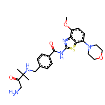 COc1ccc(N2CCOCC2)c2sc(NC(=O)c3ccc(CNC(C)(C)C(=O)CN)cc3)nc12